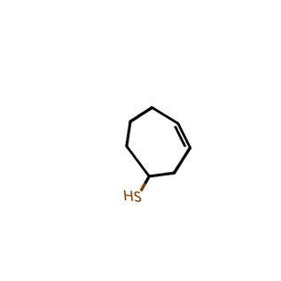 SC1CC=CCCC1